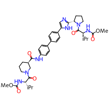 COC(=O)N[C@H](C(=O)N1CCC[C@@H](C(=O)Nc2ccc(-c3ccc(-c4cnc([C@@H]5CCCN5C(=O)[C@@H](NC(=O)OC)C(C)C)[nH]4)cc3)cc2)C1)C(C)C